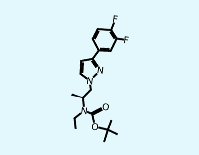 CCN(C(=O)OC(C)(C)C)[C@@H](C)Cn1ccc(-c2ccc(F)c(F)c2)n1